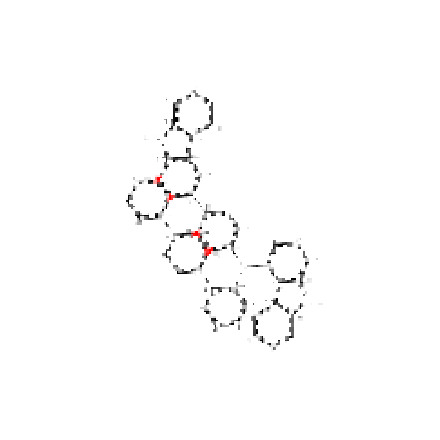 c1ccc(-c2ccc(-c3ccccc3N(c3ccc(-c4ccc5sc6ccccc6c5c4)cc3)c3cccc4oc5ccccc5c34)cc2)cc1